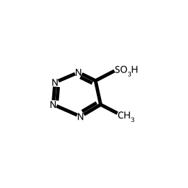 Cc1nnnnc1S(=O)(=O)O